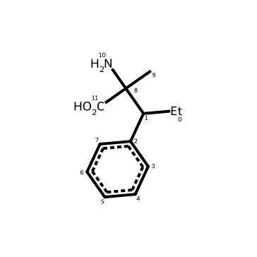 CCC(c1ccccc1)C(C)(N)C(=O)O